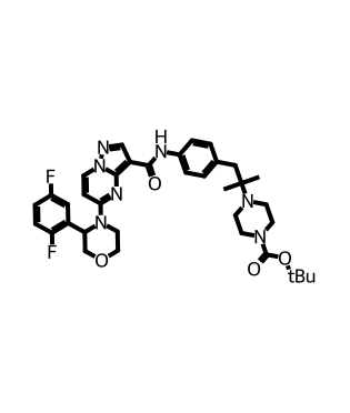 CC(C)(C)OC(=O)N1CCN(C(C)(C)Cc2ccc(NC(=O)c3cnn4ccc(N5CCOCC5c5cc(F)ccc5F)nc34)cc2)CC1